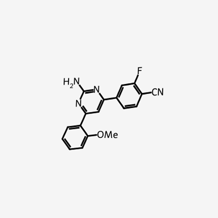 COc1ccccc1-c1cc(-c2ccc(C#N)c(F)c2)nc(N)n1